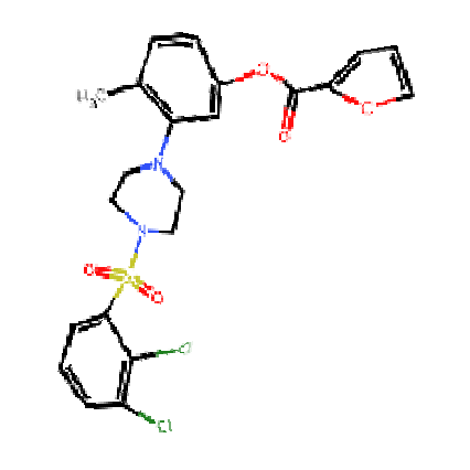 Cc1ccc(OC(=O)c2ccco2)cc1N1CCN(S(=O)(=O)c2cccc(Cl)c2Cl)CC1